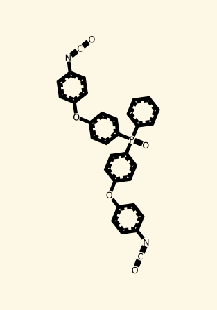 O=C=Nc1ccc(Oc2ccc(P(=O)(c3ccccc3)c3ccc(Oc4ccc(N=C=O)cc4)cc3)cc2)cc1